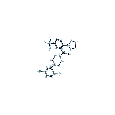 CS(=O)(=O)c1ccc(N2CCCC2)c(C(=O)N2CCN(c3cc(F)ccc3C#N)CC2)c1